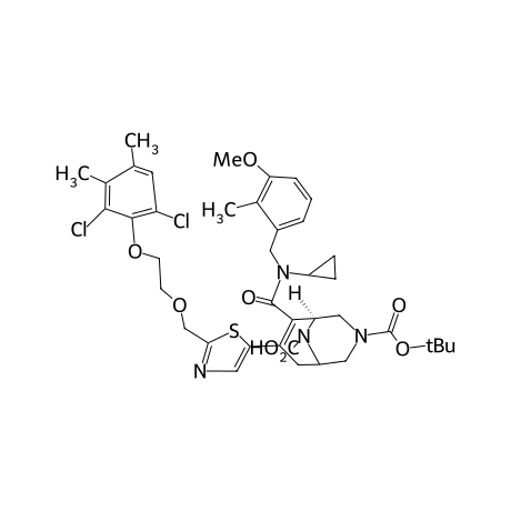 COc1cccc(CN(C(=O)C2=C(c3cnc(COCCOc4c(Cl)cc(C)c(C)c4Cl)s3)CC3CN(C(=O)OC(C)(C)C)C[C@H]2N3C(=O)O)C2CC2)c1C